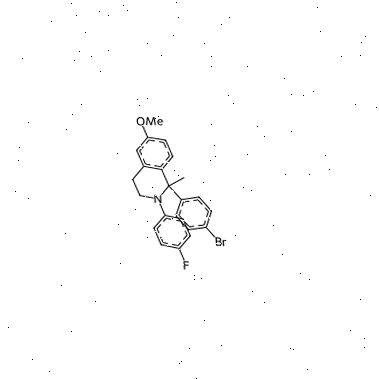 COc1ccc2c(c1)CCN(c1ccc(F)cc1)C2(C)c1ccc(Br)cc1